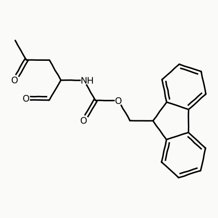 CC(=O)CC(C=O)NC(=O)OCC1c2ccccc2-c2ccccc21